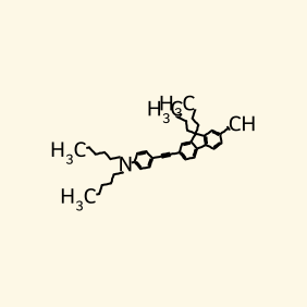 C#Cc1ccc2c(c1)C(CCCC)(CCCC)c1cc(C#Cc3ccc(N(CCCCCC)CCCCCC)cc3)ccc1-2